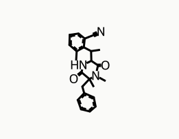 Cc1cccc(C#N)c1C(C)C1NC(=O)C(C)(Cc2ccccc2)N(C)C1=O